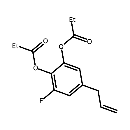 C=CCc1cc(F)c(OC(=O)CC)c(OC(=O)CC)c1